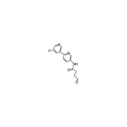 O=CCCC(=O)Nc1ccc(-c2cncc(F)c2)nc1